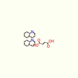 O=C(O)C=CC(=O)O.c1ccc2ncccc2c1.c1ccc2ncccc2c1